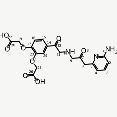 Nc1cccc(CC(=O)CNCC(=O)c2ccc(OCC(=O)O)c(OCC(=O)O)c2)n1